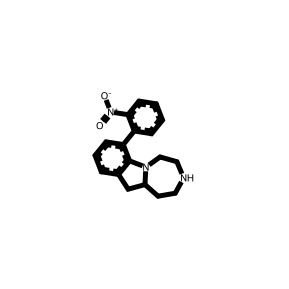 O=[N+]([O-])c1ccccc1-c1cccc2c1N1CCNCCC1C2